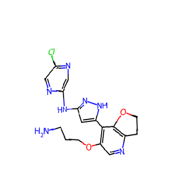 NCCCOc1cnc2c(c1-c1cc(Nc3cnc(Cl)cn3)n[nH]1)OCC2